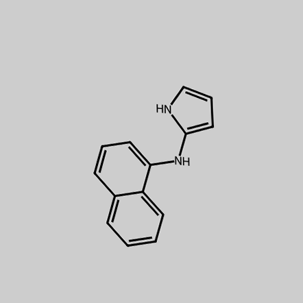 c1c[nH]c(Nc2cccc3ccccc23)c1